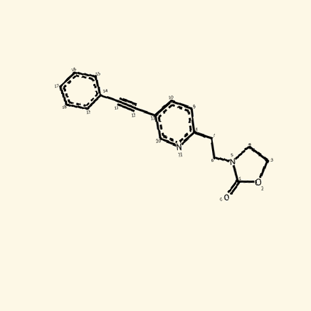 O=C1OCCN1CCc1ccc(C#Cc2ccccc2)cn1